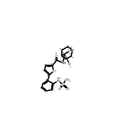 CS(=O)(=O)[AsH]c1ccccc1-c1ccc(C(=O)N[C@H]2CN3CCC2CC3)s1